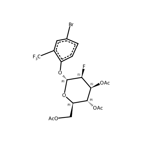 CC(=O)OC[C@H]1O[C@H](Oc2ccc(Br)cc2C(F)(F)F)[C@@H](F)[C@@H](OC(C)=O)[C@@H]1OC(C)=O